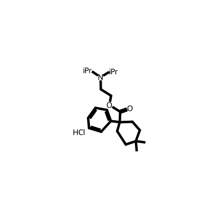 CC(C)N(CCOC(=O)C1(c2ccccc2)CCC(C)(C)CC1)C(C)C.Cl